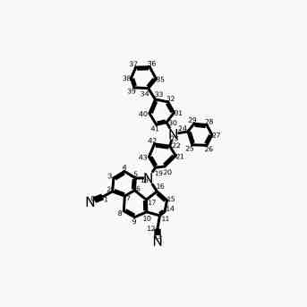 N#Cc1ccc2c3c1ccc1c(C#N)ccc(c13)n2-c1ccc(N(c2ccccc2)c2ccc(-c3ccccc3)cc2)cc1